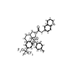 O=C(Cc1ccc2ncccc2c1)N1CC2CCc3cc(C(F)(C(F)(F)F)C(F)(F)F)ccc3C2(S(=O)(=O)c2ccc(F)cc2)C1